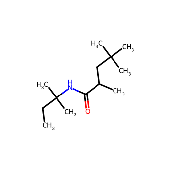 CCC(C)(C)NC(=O)C(C)CC(C)(C)C